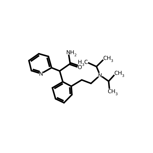 CC(C)N(CCc1ccccc1C(C(N)=O)c1ccccn1)C(C)C